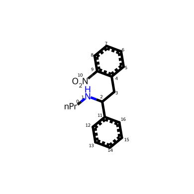 CCCNC(Cc1ccccc1[N+](=O)[O-])c1ccccc1